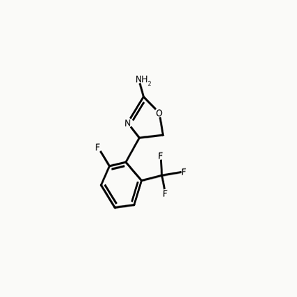 NC1=NC(c2c(F)cccc2C(F)(F)F)CO1